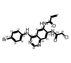 C=CC(=O)Nc1cc2c(Nc3ccc(Br)cc3)ncnc2cc1NC(=O)CCl